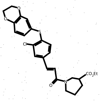 CCOC(=O)C1CCCN(C(=O)/C=C/c2ccc(Sc3ccc4c(c3)OCCO4)c(Cl)c2)C1